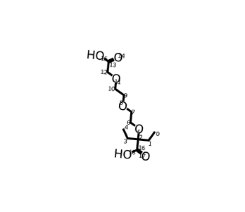 CCC(CC)(OCCOCCOCC(=O)O)C(=O)O